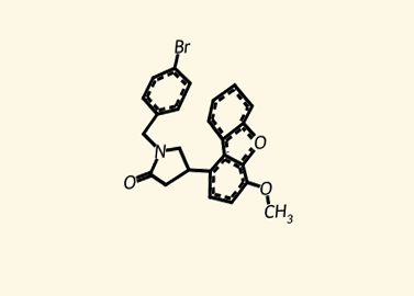 COc1ccc(C2CC(=O)N(Cc3ccc(Br)cc3)C2)c2c1oc1ccccc12